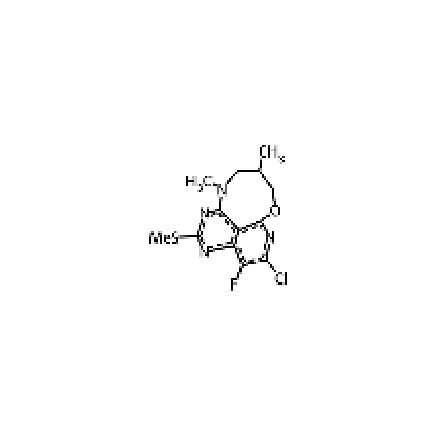 CSc1nc2c3c(nc(Cl)c(F)c3n1)OCC(C)CN2C